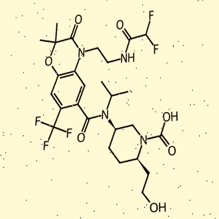 CC(C)N(C(=O)c1cc2c(cc1C(F)(F)F)OC(C)(C)C(=O)N2CCNC(=O)C(F)F)[C@@H]1CC[C@H](CCO)N(C(=O)O)C1